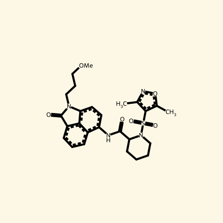 COCCCN1C(=O)c2cccc3c(NC(=O)C4CCCCN4S(=O)(=O)c4c(C)noc4C)ccc1c23